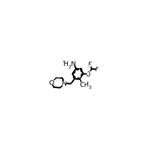 Cc1c(CN2CCOCC2)cc(N)cc1OC(F)F